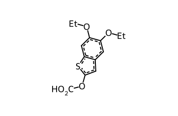 CCOc1cc2cc(OC(=O)O)sc2cc1OCC